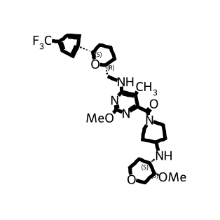 COc1nc(NC[C@H]2CCC[C@@H](c3ccc(C(F)(F)F)cc3)O2)c(C)c(C(=O)N2CCC(N[C@H]3CCOC[C@H]3OC)CC2)n1